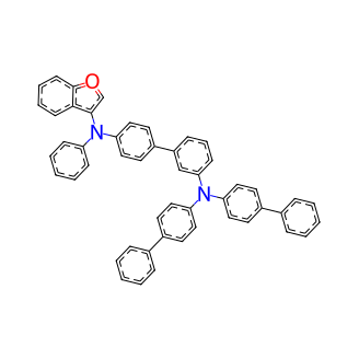 c1ccc(-c2ccc(N(c3ccc(-c4ccccc4)cc3)c3cccc(-c4ccc(N(c5ccccc5)c5coc6ccccc56)cc4)c3)cc2)cc1